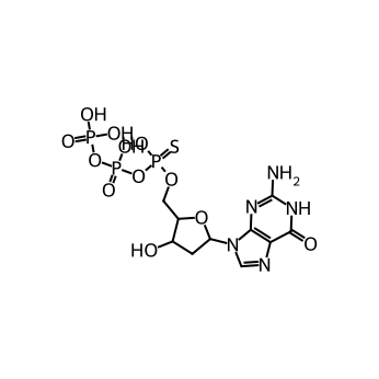 Nc1nc2c(ncn2C2CC(O)C(COP(O)(=S)OP(=O)(O)OP(=O)(O)O)O2)c(=O)[nH]1